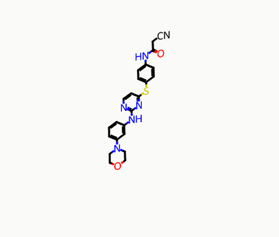 N#CCC(=O)Nc1ccc(Sc2ccnc(Nc3cccc(N4CCOCC4)c3)n2)cc1